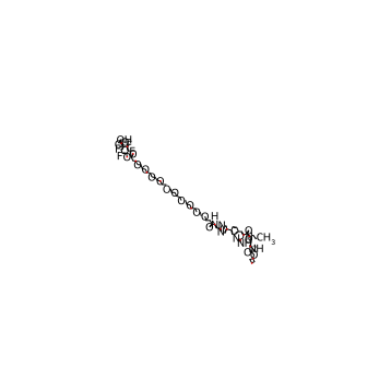 CCCN(OCCNC(=O)OC1CCC1)C(=O)C1=Cc2ccc(-c3cnc(CNC(=O)CCOCCOCCOCCOCCOCCOCCOCCOCCOCCOCCC(=O)Oc4c(F)c(F)c(S(=O)(=O)O)c(F)c4F)nc3)cc2N=C(N)C1